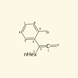 C=C=C(CCCCCC)c1ccccc1C